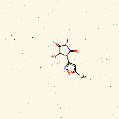 CN1C(=O)C(O)N(c2cc(C(C)(C)C)on2)C1=O